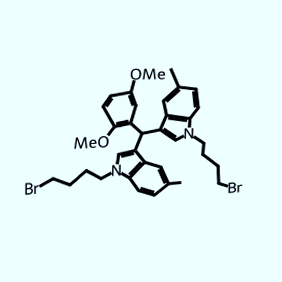 COc1ccc(OC)c(C(c2cn(CCCCBr)c3ccc(C)cc23)c2cn(CCCCBr)c3ccc(C)cc23)c1